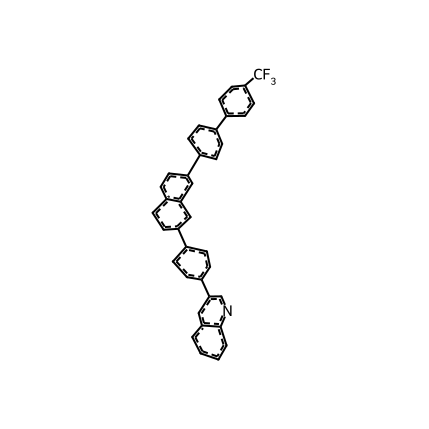 FC(F)(F)c1ccc(-c2ccc(-c3ccc4ccc(-c5ccc(-c6cnc7ccccc7c6)cc5)cc4c3)cc2)cc1